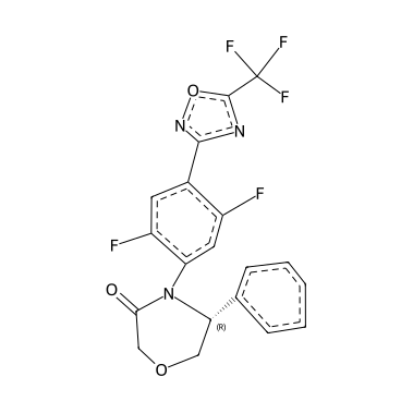 O=C1COC[C@@H](c2ccccc2)N1c1cc(F)c(-c2noc(C(F)(F)F)n2)cc1F